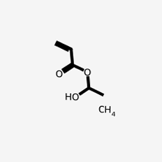 C.C=CC(=O)OC(C)O